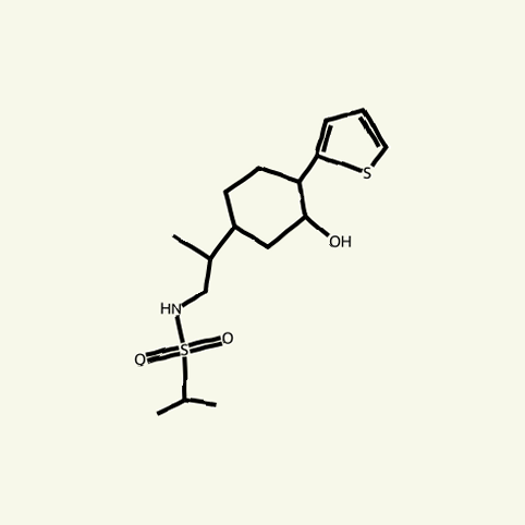 CC(CNS(=O)(=O)C(C)C)C1CCC(c2cccs2)C(O)C1